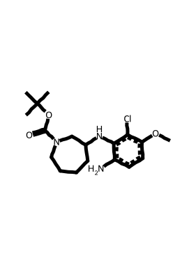 COc1ccc(N)c(NC2CCCCN(C(=O)OC(C)(C)C)C2)c1Cl